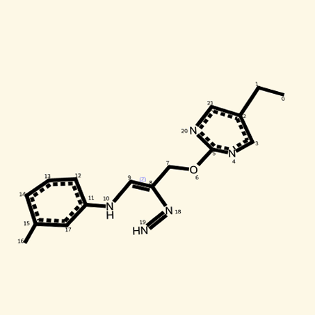 CCc1cnc(OC/C(=C/Nc2cccc(C)c2)N=N)nc1